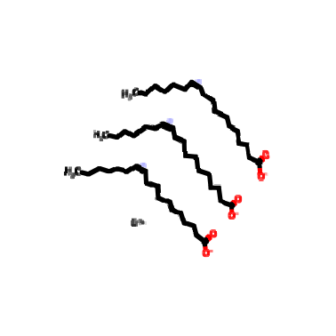 CCCCCC/C=C\CCCCCCCCCC(=O)[O-].CCCCCC/C=C\CCCCCCCCCC(=O)[O-].CCCCCC/C=C\CCCCCCCCCC(=O)[O-].[Er+3]